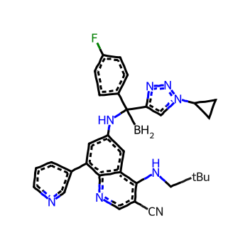 BC(Nc1cc(-c2cccnc2)c2ncc(C#N)c(NCC(C)(C)C)c2c1)(c1ccc(F)cc1)c1cn(C2CC2)nn1